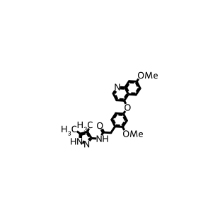 COc1ccc2c(Oc3ccc(CC(=O)Nc4n[nH]c(C)c4C)c(OC)c3)ccnc2c1